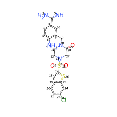 N=C(N)c1ccc(N)c(CN2CCN(S(=O)(=O)c3cc4ccc(Cl)cc4s3)CC2=O)c1